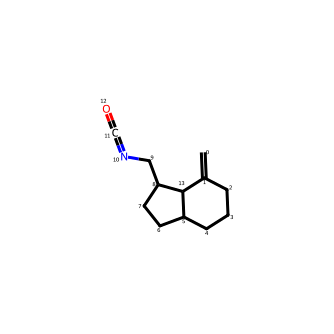 C=C1CCCC2CCC(CN=C=O)C12